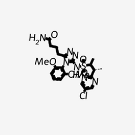 COc1cccc(OC)c1-n1c(CCCC(N)=O)nnc1NS(=O)(=O)C(C)[C@H](C)c1ncc(Cl)cn1